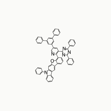 c1ccc(-c2cc(-c3ccccc3)cc(-c3cnc(-c4cccc5c4oc4cc6c(cc45)c4ccccc4n6-c4ccccc4)c(-c4nc(-c5ccccc5)nc(-c5ccccc5)n4)c3)c2)cc1